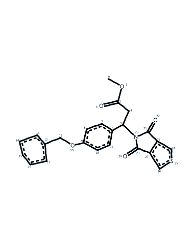 COC(=O)CC(c1ccc(OCc2ccccc2)cc1)N1C(=O)c2cscc2C1=O